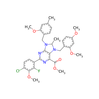 COC(=O)c1nc(-c2ccc(Cl)c(OC)c2F)nc2c1N(Cc1ccc(OC)cc1OC)C(C)N2Cc1ccc(C)cc1OC